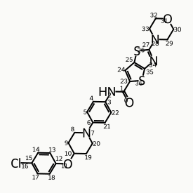 O=C(Nc1ccc(N2CCC(Oc3ccc(Cl)cc3)CC2)cc1)c1cc2sc(N3CCOCC3)nc2s1